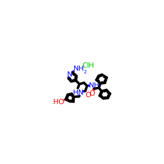 CC(CC(NC(=O)C(c1ccccc1)c1ccccc1)C(=O)NCc1ccc(O)cc1)c1ccnc(N)c1.Cl